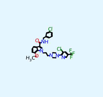 COc1cccc2c(C(=O)NCc3cccc(Cl)c3)cn(CCCN3CCN(c4ncc(C(F)(F)F)cc4Cl)CC3)c12